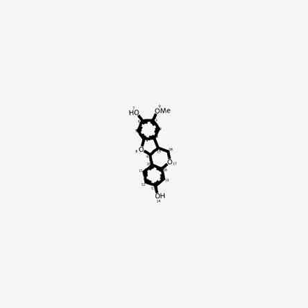 COc1cc2c(cc1O)OC1c3ccc(O)cc3OCC21